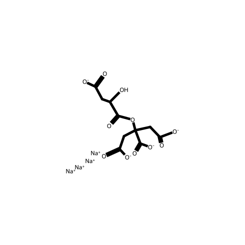 O=C([O-])CC(O)C(=O)OC(CC(=O)[O-])(CC(=O)[O-])C(=O)[O-].[Na+].[Na+].[Na+].[Na+]